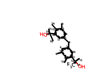 Cc1cc(Cc2cc(C)c(C)c(C(C)(O)C(F)(F)F)c2)cc(C(C)(C)O)c1C